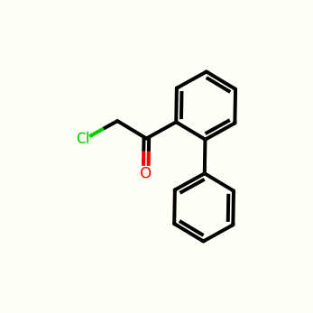 O=C(CCl)c1ccccc1-c1ccccc1